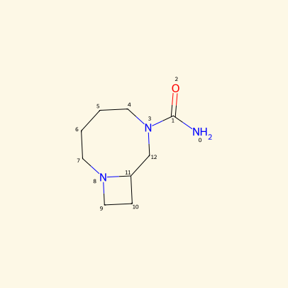 NC(=O)N1CCCCN2CCC2C1